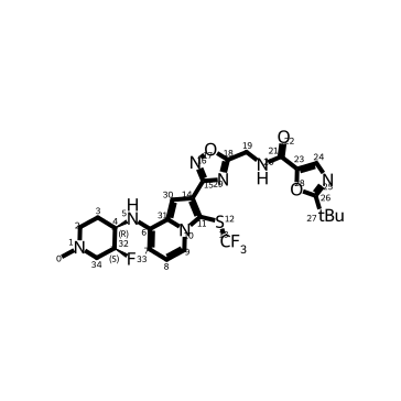 CN1CC[C@@H](Nc2cccn3c(SC(F)(F)F)c(-c4noc(CNC(=O)c5cnc(C(C)(C)C)o5)n4)cc23)[C@@H](F)C1